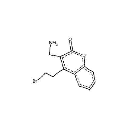 NCc1c(CCBr)c2ccccc2oc1=O